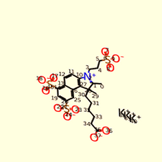 CC1=[N+](CCCS(=O)(=O)[O-])c2ccc3c(S(=O)(=O)[O-])cc(S(=O)(=O)[O-])cc3c2C1(C)CCCCCC(=O)[O-].[K+].[K+].[K+]